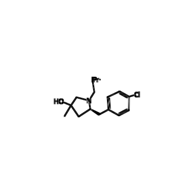 C[C](C)CN1CC(C)(O)C[C@@H]1Cc1ccc(Cl)cc1